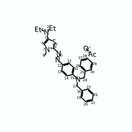 CC(=O)[O-].CCN(CC)c1c[n+](C)c(N=Nc2ccc(N(Cc3ccccc3)Cc3ccccc3)cc2)s1